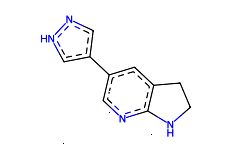 c1n[nH]cc1-c1cnc2c(c1)CCN2